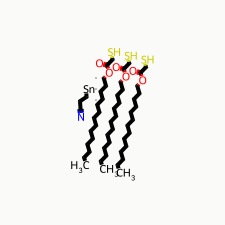 CCCCCCCCCCCCCCOC(=O)CS.CCCCCCCCCCCCCCOC(=O)CS.CCCCCCCCCCCCCCOC(=O)CS.N#CC[CH2][Sn]